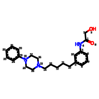 O=C(CO)Nc1cccc(CCCCCN2CCN(c3ccccc3)CC2)c1